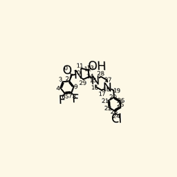 O=C(c1ccc(F)c(F)c1)N1CC(O)C(N2CCN(Cc3ccc(Cl)cc3)CC2)C1